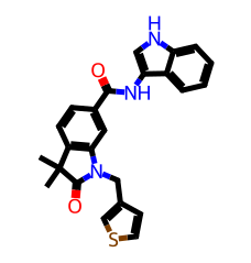 CC1(C)C(=O)N(Cc2ccsc2)c2cc(C(=O)Nc3c[nH]c4ccccc34)ccc21